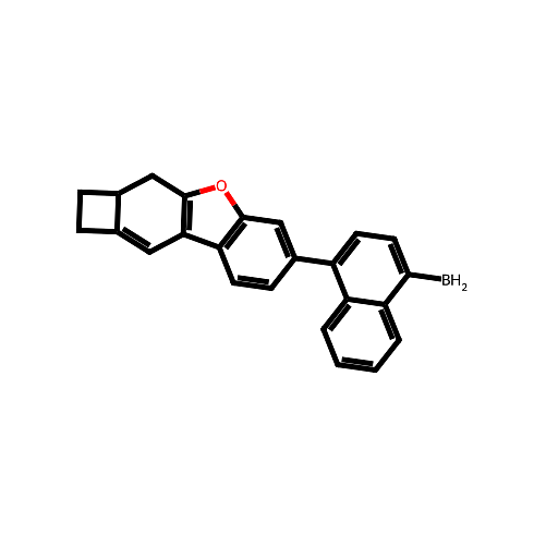 Bc1ccc(-c2ccc3c4c(oc3c2)CC2CCC2=C4)c2ccccc12